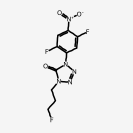 O=c1n(CCCF)nnn1-c1cc(F)c([N+](=O)[O-])cc1F